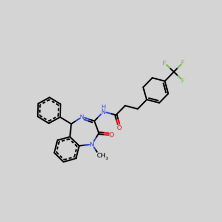 CN1C(=O)C(NC(=O)CCC2=CC=C(C(F)(F)F)CC2)=NC(c2ccccc2)c2ccccc21